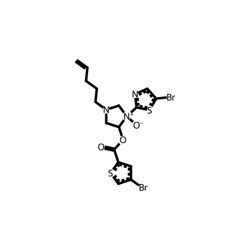 C=CCCCN1CC(OC(=O)c2cc(Br)cs2)[N+]([O-])(c2ncc(Br)s2)C1